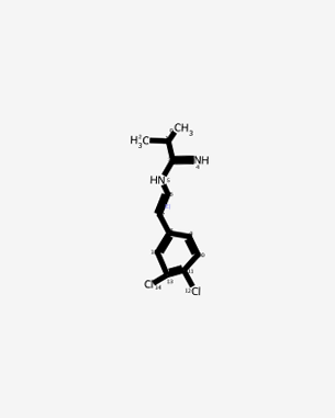 CC(C)C(=N)N/C=C/c1ccc(Cl)c(Cl)c1